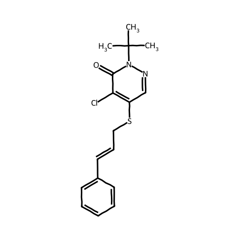 CC(C)(C)n1ncc(SCC=Cc2ccccc2)c(Cl)c1=O